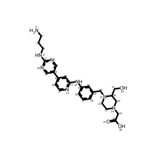 NCCCNc1ncc(-c2ccnc(Nc3cccc(CN4CCN(CC(=O)O)CC4CO)c3)c2)cn1